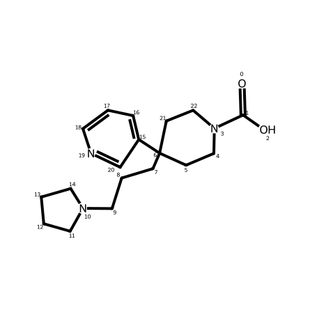 O=C(O)N1CCC(CCCN2CCCC2)(c2cccnc2)CC1